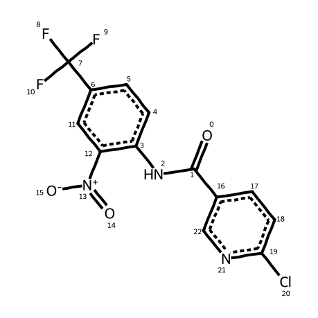 O=C(Nc1ccc(C(F)(F)F)cc1[N+](=O)[O-])c1ccc(Cl)nc1